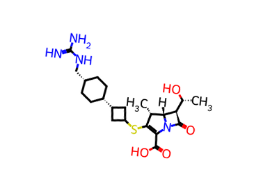 C[C@@H](O)[C@H]1C(=O)N2C(C(=O)O)=C(SC3CC([C@H]4CC[C@@H](CNC(=N)N)CC4)C3)[C@H](C)[C@H]12